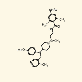 COc1ccc(N(Cc2cnccc2C)C2CCN([C@H](C)CCNC(=O)c3c(C)cc(NC(C)=O)cc3C)CC2)cc1